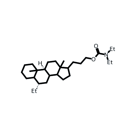 CC[C@H]1CC2C3CCC(CCCOC(=O)N(CC)CC)C3(C)CC[C@@H]2C2(C)CCCCC12